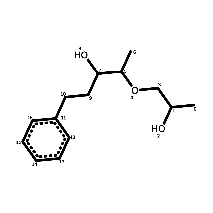 CC(O)COC(C)C(O)CCc1ccccc1